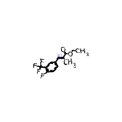 CCOC(=O)/C(C)=C/c1ccc(F)c(C(F)(F)F)c1